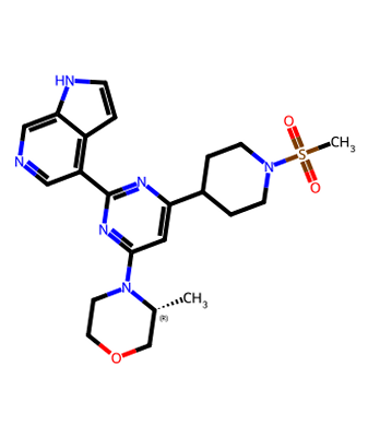 C[C@@H]1COCCN1c1cc(C2CCN(S(C)(=O)=O)CC2)nc(-c2cncc3[nH]ccc23)n1